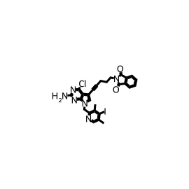 Cc1cnc(Cn2cc(C#CCCCN3C(=O)c4ccccc4C3=O)c3c(Cl)nc(N)nc32)c(C)c1I